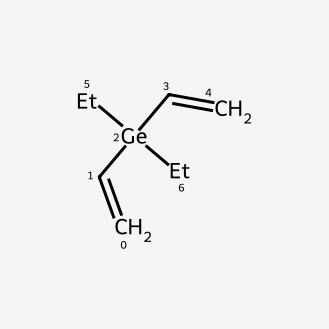 C=[CH][Ge]([CH]=C)([CH2]C)[CH2]C